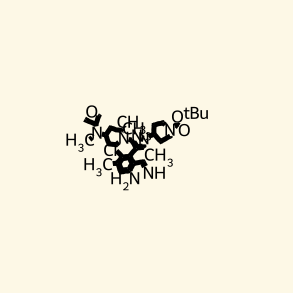 Cc1cc(N)c(C=N)c(-c2c(N3CCC(N(C)C4COC4)CC3(C)C)nn(C3CCN(C(=O)OC(C)(C)C)CC3)c2C)c1Cl